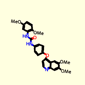 COc1ccc(OC)c(NC(=O)Nc2ccc(Oc3ccnc4cc(OC)c(OC)cc34)cc2)c1